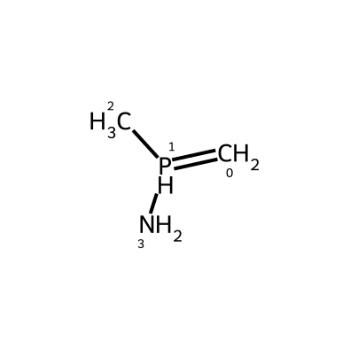 C=[PH](C)N